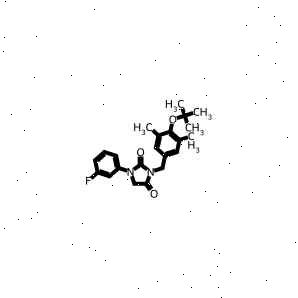 Cc1cc(CN2C(=O)CN(c3cccc(F)c3)C2=O)cc(C)c1OC(C)(C)C